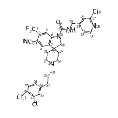 N#Cc1cc2c(cc1C(F)(F)F)N(C(=O)NCc1ccnc(Cl)c1)CC21CCN(CC=Cc2ccc(Cl)c(Cl)c2)CC1